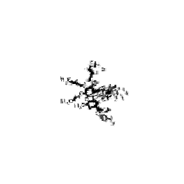 CCCCOC1C(OCCCC)[C@H](OCCCC)C(C)O[C@H]1OC1C(C)CC(C(=O)OC)C[C@H]1O[Si](C)(C)C(C)(C)C